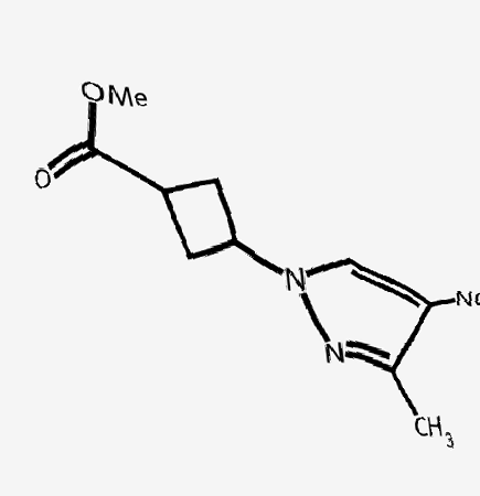 COC(=O)C1CC(n2cc([N+](=O)[O-])c(C)n2)C1